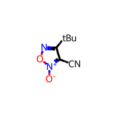 CC(C)(C)c1no[n+]([O-])c1C#N